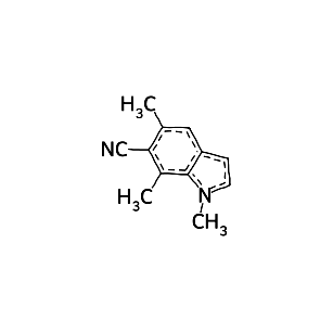 Cc1cc2ccn(C)c2c(C)c1C#N